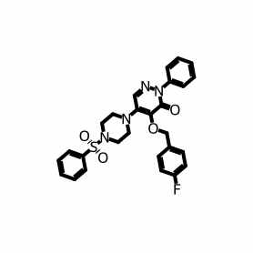 O=c1c(OCc2ccc(F)cc2)c(N2CCN(S(=O)(=O)c3ccccc3)CC2)cnn1-c1ccccc1